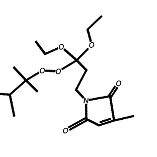 CCOC(CCN1C(=O)C=C(C)C1=O)(OCC)OOC(C)(C)C(C)C